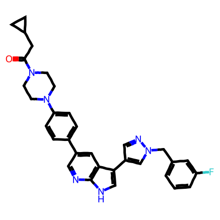 O=C(CC1CC1)N1CCN(c2ccc(-c3cnc4[nH]cc(-c5cnn(Cc6cccc(F)c6)c5)c4c3)cc2)CC1